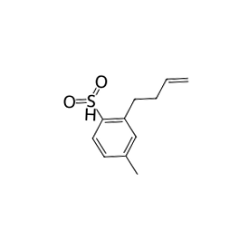 C=CCCc1cc(C)ccc1[SH](=O)=O